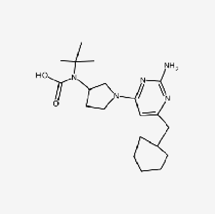 CC(C)(C)N(C(=O)O)C1CCN(c2cc(CC3CCCCC3)nc(N)n2)C1